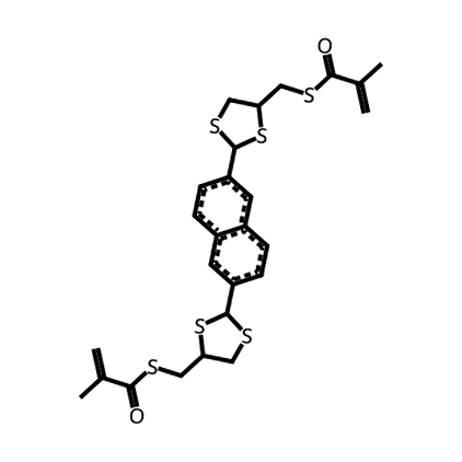 C=C(C)C(=O)SCC1CSC(c2ccc3cc(C4SCC(CSC(=O)C(=C)C)S4)ccc3c2)S1